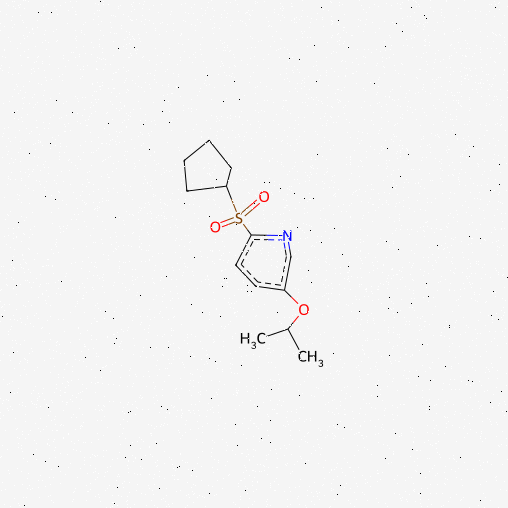 CC(C)Oc1ccc(S(=O)(=O)C2CCCC2)nc1